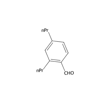 CCCc1ccc(C=O)c(CCC)c1